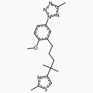 COc1ccc(-n2nnc(C)n2)cc1CCCC(C)(C)c1csc(C)n1